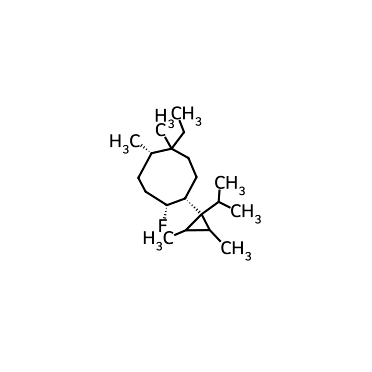 CCC1(C)CC[C@H](C2(C(C)C)C(C)C2C)[C@H](F)CC[C@@H]1C